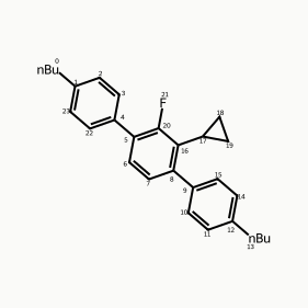 CCCCc1ccc(-c2ccc(-c3ccc(CCCC)cc3)c(C3CC3)c2F)cc1